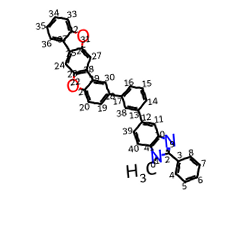 Cn1c(-c2ccccc2)nc2cc(-c3cccc(-c4ccc5oc6cc7c(cc6c5c4)oc4ccccc47)c3)ccc21